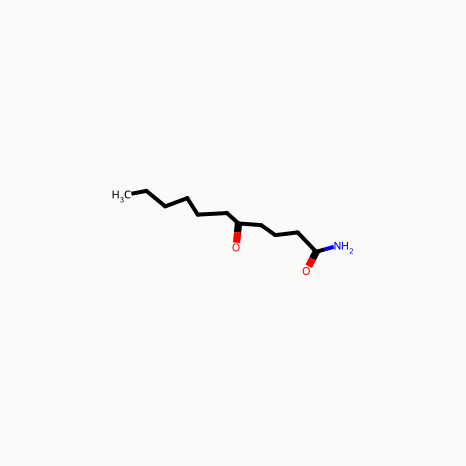 CCCCCCC(=O)CCCC(N)=O